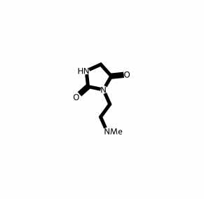 CNCCN1C(=O)CNC1=O